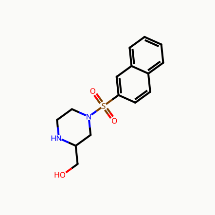 O=S(=O)(c1ccc2ccccc2c1)N1CCNC(CO)C1